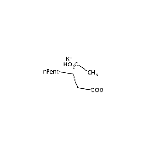 CC(=O)O.CCCCCCCC(=O)[O-].[K+]